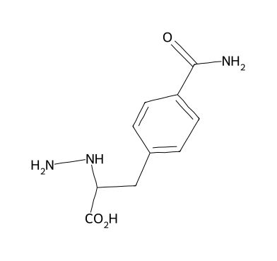 NNC(Cc1ccc(C(N)=O)cc1)C(=O)O